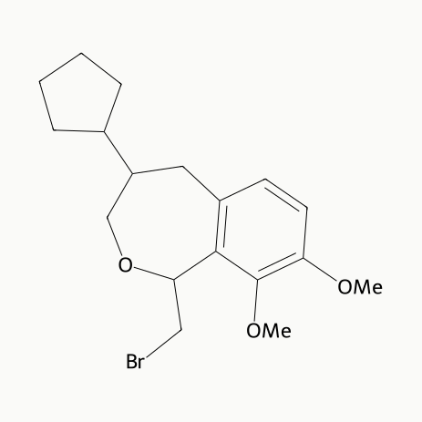 COc1ccc2c(c1OC)C(CBr)OCC(C1CCCC1)C2